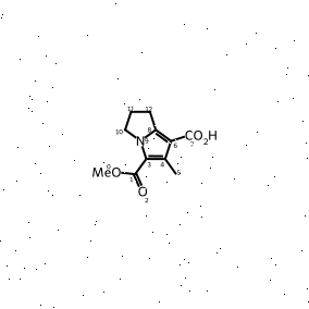 COC(=O)c1c(C)c(C(=O)O)c2n1CCC2